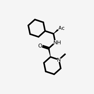 CC(=O)[C@@H](NC(=O)[C@@H]1CCCCN1C)C1CCCCC1